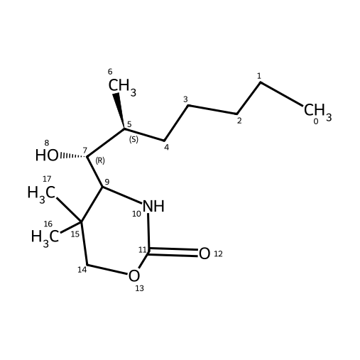 CCCCC[C@H](C)[C@@H](O)C1NC(=O)OCC1(C)C